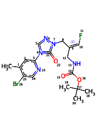 Cc1cc(-n2cnn(C/C(=C\F)CNC(=O)OC(C)(C)C)c2=O)ncc1Br